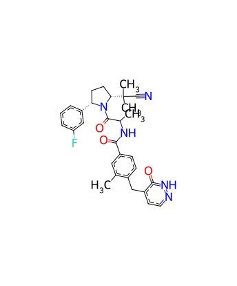 Cc1cc(C(=O)NC(C)C(=O)N2[C@H](c3cccc(F)c3)CC[C@@H]2C(C)(C)C#N)ccc1Cc1ccn[nH]c1=O